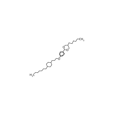 CCCCCCCC1CCC(CCCOc2ccc(C3OCC(CCCCCC)CO3)cc2)CC1